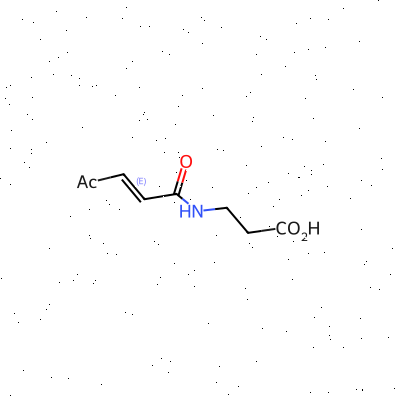 CC(=O)/C=C/C(=O)NCCC(=O)O